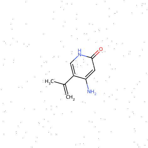 C=C(C)c1c[nH]c(=O)cc1N